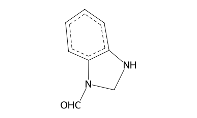 O=CN1CNc2ccccc21